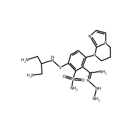 NCC(CN)NSc1ccc(N2CCCn3ccnc32)c(/C(N)=N/NN)c1S(N)(=O)=O